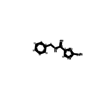 CCCc1nc(C(=O)NCc2ccccc2)cs1